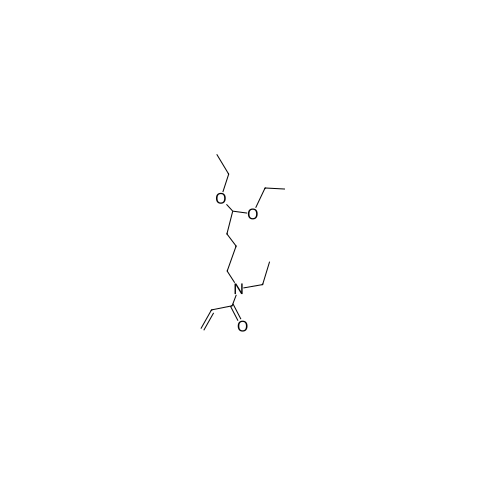 C=CC(=O)N(CC)CCCC(OCC)OCC